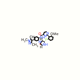 COc1cccc(F)c1-c1nccc(C(=O)Nc2ccc(-c3c(C)nn(C)c3C)cc2N2C[C@@H]3C[C@H]2CN3)n1